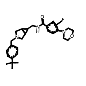 CC(C)(C)c1ccc(CN2CC3C(CNC(=O)c4ccc(N5CCOCC5)c(F)c4)C3C2)cc1